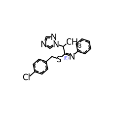 CC(/C(=N\c1ccccc1)SCc1ccc(Cl)cc1)n1cncn1